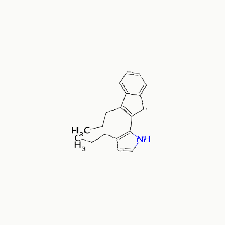 CCCC1=C(c2[nH]ccc2CCC)[CH]c2ccccc21